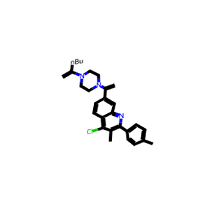 C=C(CCCC)N1CCN(C(=C)c2ccc3c(Cl)c(C)c(-c4ccc(C)cc4)nc3c2)CC1